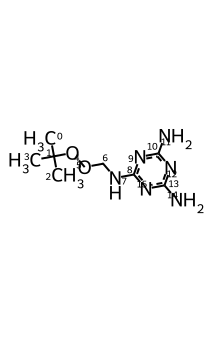 CC(C)(C)OOCNc1nc(N)nc(N)n1